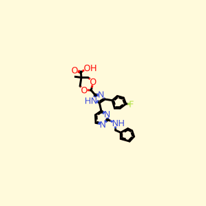 CC1(C(=O)O)COC(c2nc(-c3ccc(F)cc3)c(-c3ccnc(NCc4ccccc4)n3)[nH]2)OC1